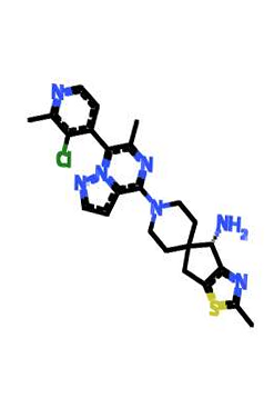 Cc1nc2c(s1)CC1(CCN(c3nc(C)c(-c4ccnc(C)c4Cl)n4nccc34)CC1)[C@@H]2N